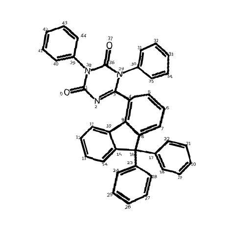 O=c1nc(-c2cccc3c2-c2ccccc2C3(c2ccccc2)c2ccccc2)n(-c2ccccc2)c(=O)n1-c1ccccc1